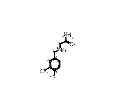 NC(=O)CNCc1ccc(F)c(Cl)c1